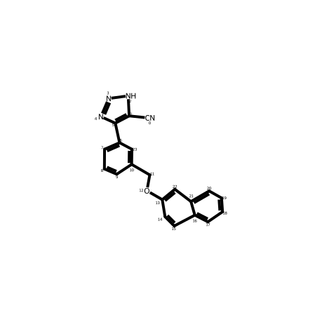 N#Cc1[nH]nnc1-c1cccc(COc2ccc3ccccc3c2)c1